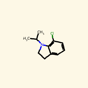 CC(C)N1CCc2cccc(Cl)c21